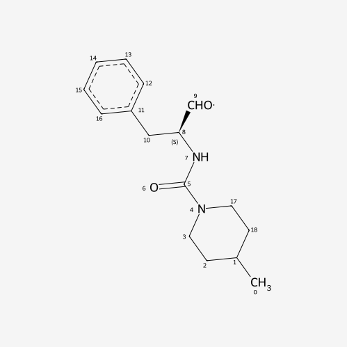 CC1CCN(C(=O)N[C@H]([C]=O)Cc2ccccc2)CC1